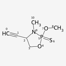 C#CC1COP(=S)(OC)N1C